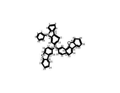 c1ccc(-n2c3ccccc3c3ccc(N(c4ccc5sc6ccccc6c5c4)c4ccc5ccc6c7ccccc7oc6c5c4)cc32)cc1